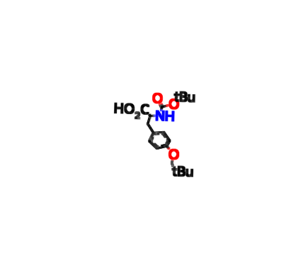 CC(C)(C)COc1ccc(C[C@H](NC(=O)OC(C)(C)C)C(=O)O)cc1